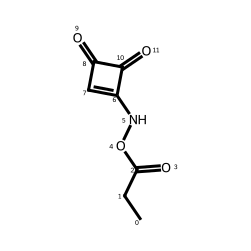 CCC(=O)ONc1cc(=O)c1=O